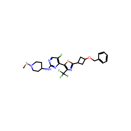 CSN1CCC(Nc2ncc(F)c(-c3sc(C4CC(OCc5ccccc5)C4)nc3C(F)(F)F)n2)CC1